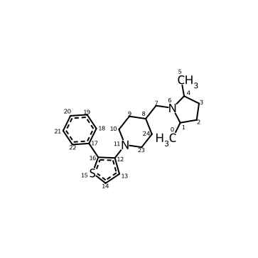 CC1CCC(C)N1CC1CCN(c2ccsc2-c2ccccc2)CC1